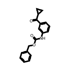 O=C(Nc1cccc(C(=O)C2CC2)c1)OCc1ccccc1